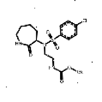 CC(C)(C)OC(=O)NCCN(C1CCCCNC1=O)S(=O)(=O)c1ccc(Cl)cc1